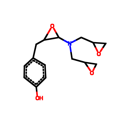 Oc1ccc(CC2OC2N(CC2CO2)CC2CO2)cc1